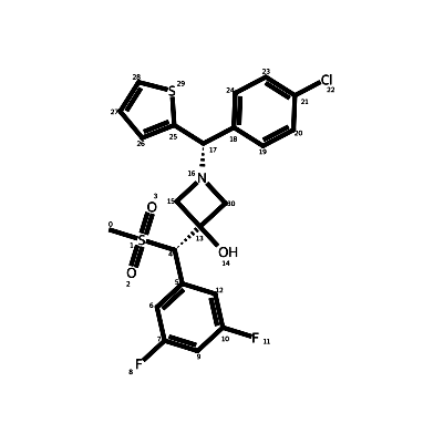 CS(=O)(=O)[C@@H](c1cc(F)cc(F)c1)C1(O)CN([C@@H](c2ccc(Cl)cc2)c2cccs2)C1